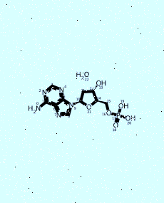 Nc1ncnc2c1ncn2[C@H]1C[C@H](O)[C@@H](COP(=O)(O)O)O1.O